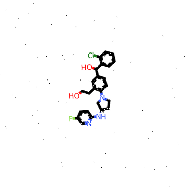 OCCc1cc(C(O)c2ccccc2Cl)ccc1N1CC[C@H](Nc2ccc(F)cn2)C1